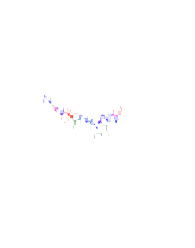 COC(=O)N[C@H]1CCC[C@@H]1C(CN1CCC1)(c1cccc(F)c1)C1CCN(CC2(F)CN(c3ccc(S(=O)(=O)C4CN(C(=O)/C=C/CN(C)C)C4)cc3F)C2)CC1